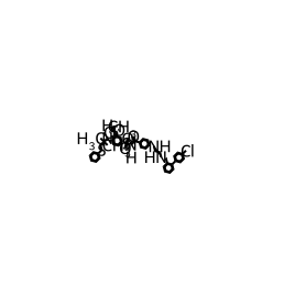 CC(C)(CSc1ccccc1)Nc1ccc(S(=O)(=O)NC(=O)c2ccc(NCCNCc3ccccc3-c3ccc(Cl)cc3)cc2)cc1S(C)(=O)=O